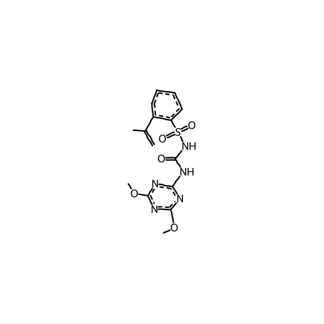 C=C(C)c1ccccc1S(=O)(=O)NC(=O)Nc1nc(OC)nc(OC)n1